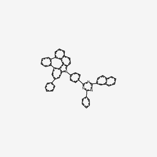 c1ccc(-c2cc3c4c5c6c(cccc6ccc5n(-c5ccc(-c6nc(-c7ccccc7)nc(-c7ccc8ccccc8c7)n6)cc5)c4c2)-c2ccccc2-3)cc1